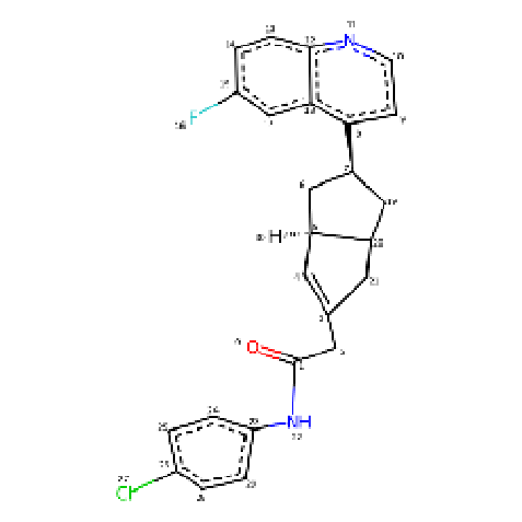 O=C(CC1=C[C@H]2C[C@@H](c3ccnc4ccc(F)cc34)CC2C1)Nc1ccc(Cl)cc1